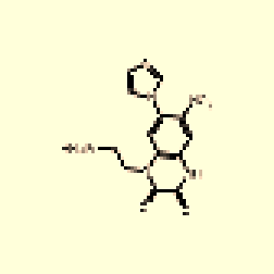 CC(C)CCn1c(=O)c(=O)[nH]c2cc([N+](=O)[O-])c(-n3ccnc3)cc21.[NaH]